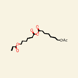 C=CC(=O)OCCCCCC(=O)OC(=O)CCCCCCOC(C)=O